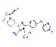 CC#CC(=O)N1C[C@H](n2nc(-c3ccc(Oc4ccc(Cl)cn4)cc3)c(C(N)=O)c2N)CCC12CC2